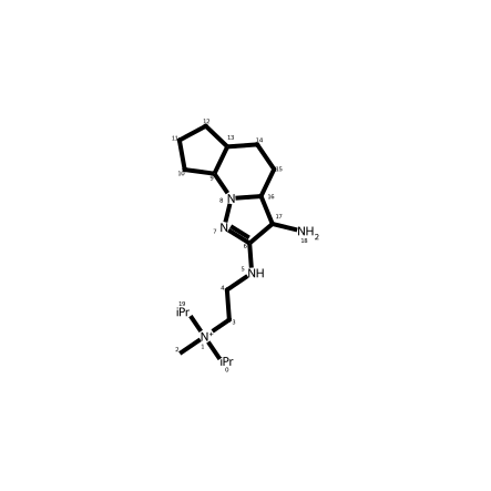 CC(C)[N+](C)(CCNC1=NN2C3CCCC3CCC2C1N)C(C)C